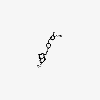 COc1ccc(CC2CCN(CCOc3cccc4nc(C)ccc34)CC2)cc1F